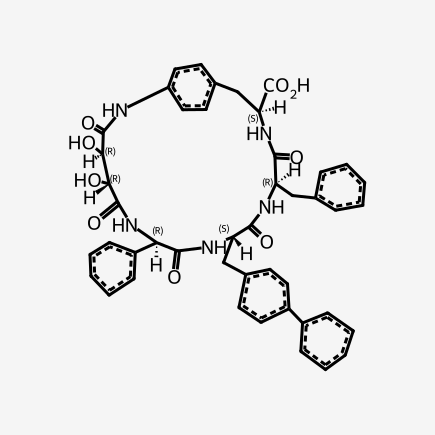 O=C(O)[C@@H]1Cc2ccc(cc2)NC(=O)[C@H](O)[C@@H](O)C(=O)N[C@H](c2ccccc2)C(=O)N[C@@H](Cc2ccc(-c3ccccc3)cc2)C(=O)N[C@H](Cc2ccccc2)C(=O)N1